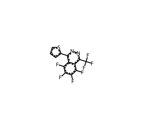 Fc1c(F)c(F)c2c(C(F)(F)F)nnc(-c3cccs3)c2c1F